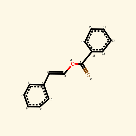 S=C(OC=Cc1ccccc1)c1ccccc1